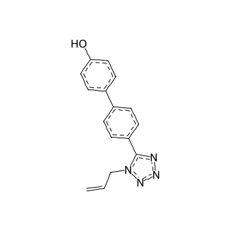 C=CCn1nnnc1-c1ccc(-c2ccc(O)cc2)cc1